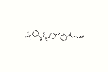 O=C(Nc1ccc(Oc2ccnc(NCCCO)n2)cc1)Nc1cccc(C(F)(F)F)c1